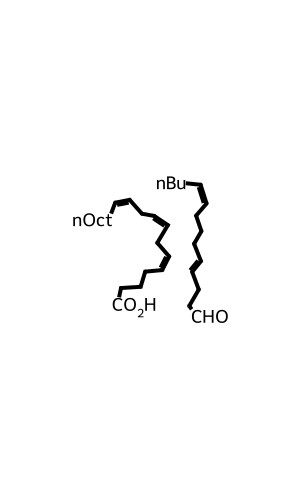 CCCC/C=C\CCC/C=C/CCC=O.CCCCCCCC/C=C\C/C=C\C/C=C\CCCC(=O)O